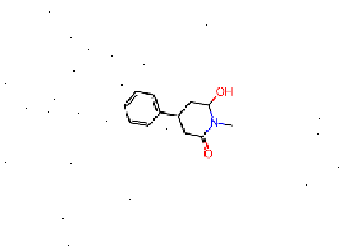 CN1C(=O)CC(c2ccccc2)CC1O